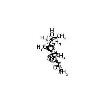 CCC(O)C(C)(C)Oc1ccc(C(CC)(CC)c2nc(CC(=O)OC)co2)cc1C